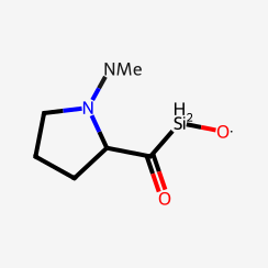 CNN1CCCC1C(=O)[SiH2][O]